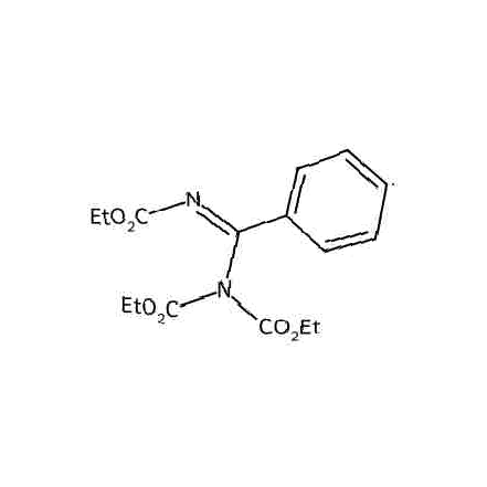 CCOC(=O)N=C(c1cc[c]cc1)N(C(=O)OCC)C(=O)OCC